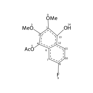 COc1c(OC)c(OC(C)=O)c2cc(F)ccc2c1O